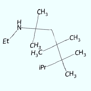 CCNC(C)(C)CC(C)(C)C(C)(C)C(C)C